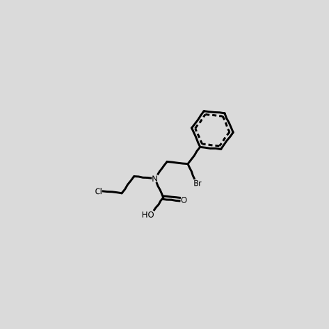 O=C(O)N(CCCl)CC(Br)c1ccccc1